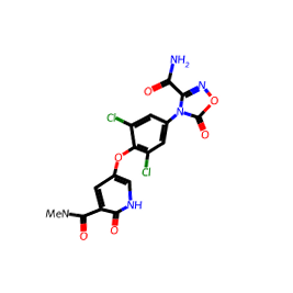 CNC(=O)c1cc(Oc2c(Cl)cc(-n3c(C(N)=O)noc3=O)cc2Cl)c[nH]c1=O